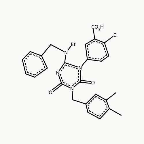 CCN(Cc1ccccc1)c1nc(=O)n(Cc2ccc(C)c(C)c2)c(=O)n1-c1ccc(Cl)c(C(=O)O)c1